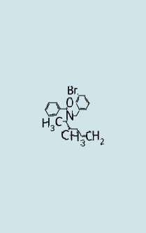 C=CCC(C)C(C)N(Cc1cccc(Br)c1)C(=O)c1ccccc1